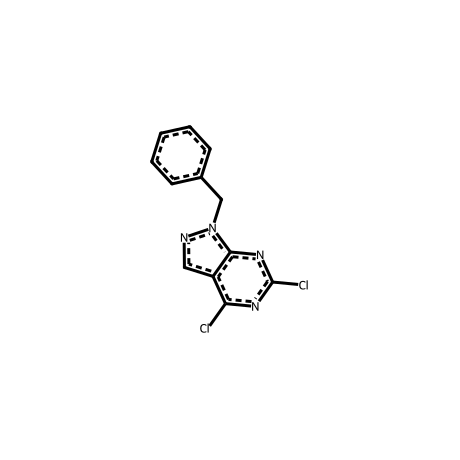 Clc1nc(Cl)c2cnn(Cc3ccccc3)c2n1